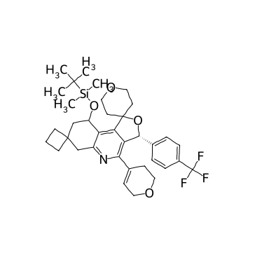 CC(C)(C)[Si](C)(C)OC1CC2(CCC2)Cc2nc(C3=CCOCC3)c3c(c21)C1(CCOCC1)O[C@@H]3c1ccc(C(F)(F)F)cc1